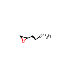 O=C(O)C=CC1CO1